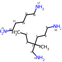 CCCC(C)(CN)CCCN.NCCCCCN